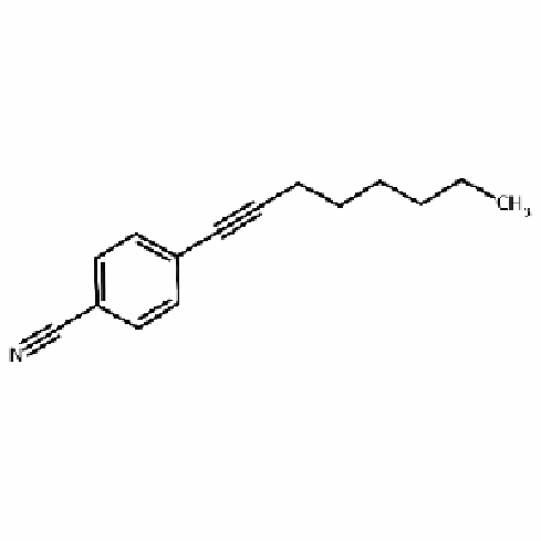 CCCCCCC#Cc1ccc(C#N)cc1